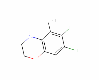 O=C(O)c1c(F)c(Cl)cc2c1NCCO2